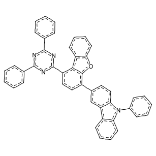 c1ccc(-c2nc(-c3ccccc3)nc(-c3ccc(-c4ccc5c(c4)c4ccccc4n5-c4ccccc4)c4oc5ccccc5c34)n2)cc1